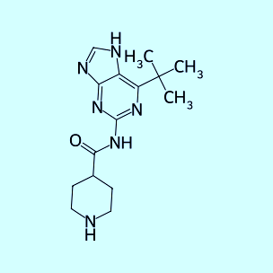 CC(C)(C)c1nc(NC(=O)C2CCNCC2)nc2nc[nH]c12